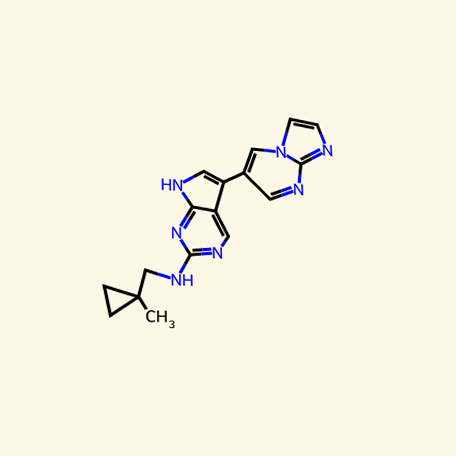 CC1(CNc2ncc3c(-c4cnc5nccn5c4)c[nH]c3n2)CC1